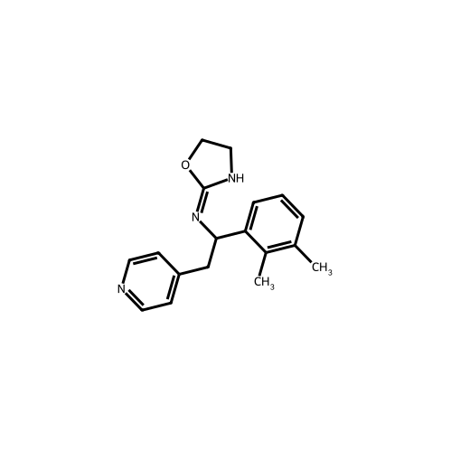 Cc1cccc(C(Cc2ccncc2)/N=C2\NCCO2)c1C